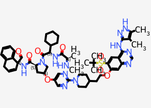 CN[C@@H](C)C(=O)N[C@H](C(=O)N1C[C@@H](Oc2cnc(N3CCC(CCOc4cc5ncnc(Nc6n[nH]c(C)c6C)c5cc4S(=O)(=O)C(C)(C)C)CC3)nc2)C[C@H]1C(=O)N[C@]1(C=O)C=CCc2ccccc21)C1CCCCC1